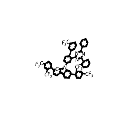 FC(F)(F)c1cccc(-c2ccc(-n3c4cc(-c5ccc(C(F)(F)F)cc5C(F)(F)F)ccc4c4ccc(-c5ccc(C(F)(F)F)cc5C(F)(F)F)cc43)cc2-c2nc(-c3ccccc3)nc(-c3ccccc3)n2)c1